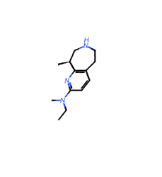 CCN(C)c1ccc2c(n1)[C@@H](C)CNCC2